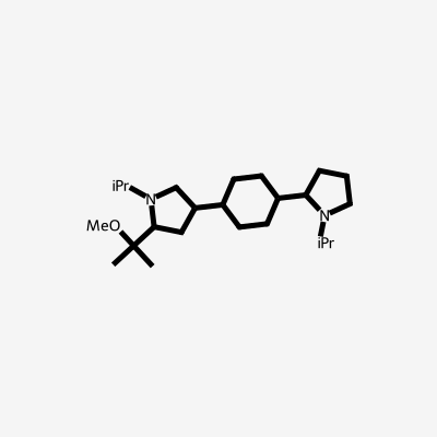 COC(C)(C)C1CC(C2CCC(C3CCCN3C(C)C)CC2)CN1C(C)C